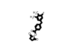 Cc1c(F)cc(Cc2ccc(C(=O)ON3C(=O)CCC3=O)cc2)cc1P